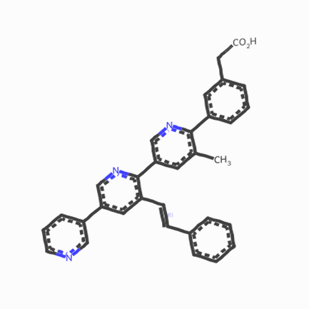 Cc1cc(-c2ncc(-c3cccnc3)cc2/C=C/c2ccccc2)cnc1-c1cccc(CC(=O)O)c1